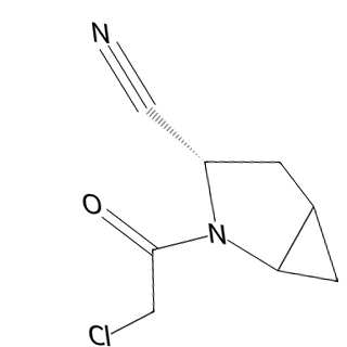 N#C[C@@H]1CC2CC2N1C(=O)CCl